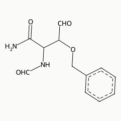 NC(=O)C(NC=O)C(C=O)OCc1ccccc1